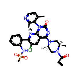 C=CC(=O)N1C[C@H](C)N(c2nc(=O)n(-c3c(C)ccnc3C(C)C)c3nc(-c4ccccc4NS(C)(=O)=O)c(Cl)cc23)C[C@H]1C